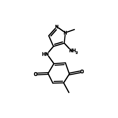 CC1=CC(=O)C(Nc2cnn(C)c2N)=CC1=O